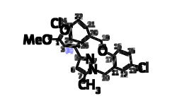 COC(=O)/C=C/c1cc(C)n(Cc2cc(Cl)ccc2OCc2ccc(Cl)cc2)n1